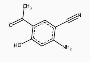 CC(=O)c1cc(C#N)c(N)cc1O